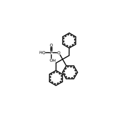 O=P(O)(O)OC(Cc1ccccc1)(Cc1ccccc1)c1ccccc1